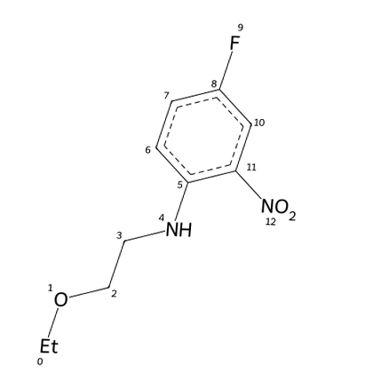 CCOCCNc1ccc(F)cc1[N+](=O)[O-]